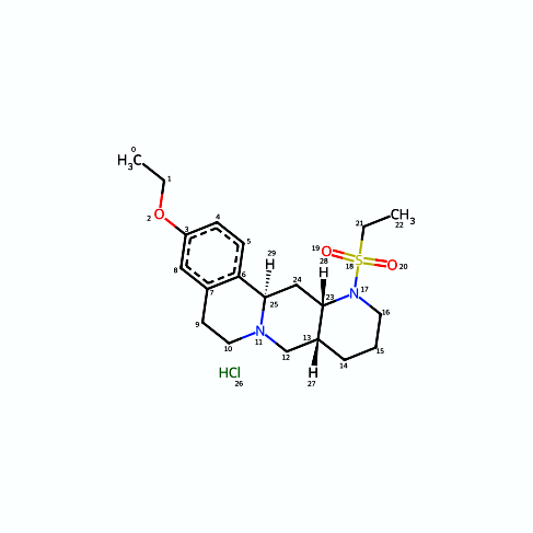 CCOc1ccc2c(c1)CCN1C[C@H]3CCCN(S(=O)(=O)CC)[C@H]3C[C@H]21.Cl